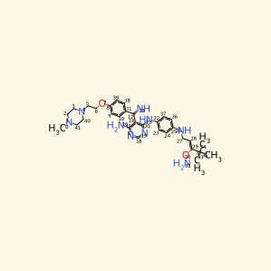 CN1CCN(CCOc2ccc(C(=N)c3c(N)ncnc3Nc3ccc(NC/C=C(\ON)C(C)(C)C)cc3)cc2)CC1